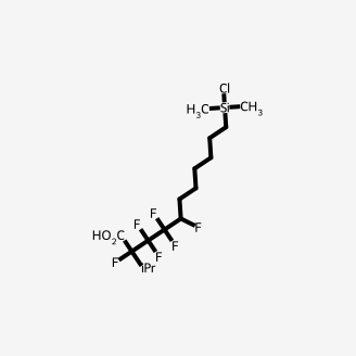 CC(C)C(F)(C(=O)O)C(F)(F)C(F)(F)C(F)CCCCCC[Si](C)(C)Cl